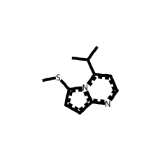 CSc1ccc2nccc(C(C)C)n12